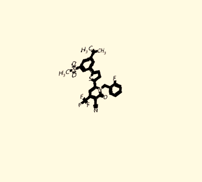 CC(C)c1cc(-c2ccc(-c3cc(C(F)(F)F)c(C#N)c(=O)n3Cc3ccccc3F)s2)cc(S(C)(=O)=O)c1